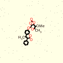 COC1=C(C)OC(Oc2ccc3c(C)c(-c4ccccc4)c(=O)oc3c2)C2OC(=O)OC12